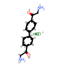 Cl.Cl.NCC(=O)c1ccc(-c2ccc(C(=O)CN)cc2)cc1